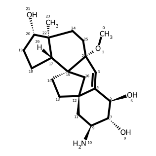 CO[C@]12C=C3[C@@H](O)[C@H](O)[C@@H](N)C[C@]34CC[C@]1(C4)[C@@H]1CC[C@H](O)[C@@]1(C)CC2